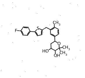 Cc1ccc(C2CC(O)C(O)C(C)(C)O2)cc1Cc1ccc(-c2ccc(F)cc2)s1